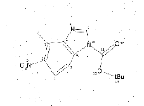 Cc1c([N+](=O)[O-])ccc2c1ncn2C(=O)OC(C)(C)C